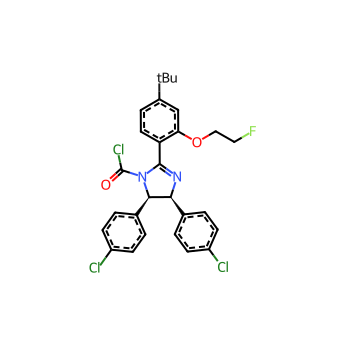 CC(C)(C)c1ccc(C2=N[C@@H](c3ccc(Cl)cc3)[C@@H](c3ccc(Cl)cc3)N2C(=O)Cl)c(OCCF)c1